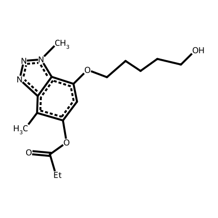 CCC(=O)Oc1cc(OCCCCCO)c2c(nnn2C)c1C